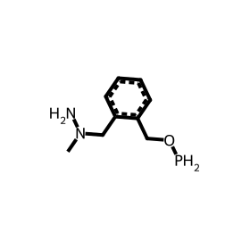 CN(N)Cc1ccccc1COP